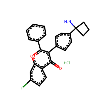 Cl.NC1(c2ccc(-c3c(-c4ccccc4)oc4cc(F)ccc4c3=O)cc2)CCC1